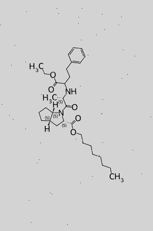 CCCCCCCCOC(=O)[C@@H]1C[C@@H]2CCC[C@@H]2N1C(=O)[C@H](C)NC(CCc1ccccc1)C(=O)OCC